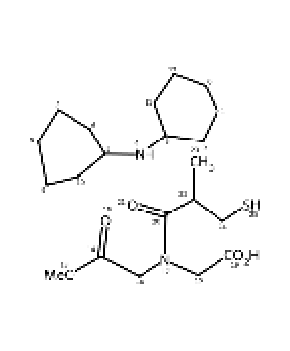 C1CCC(NC2CCCCC2)CC1.COC(=O)CN(CC(=O)O)C(=O)C(C)CS